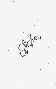 O=C(NO)c1nc2ccc3cccnc3c2[nH]1